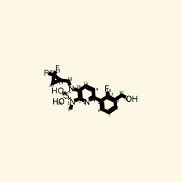 CN1c2nc(-c3cccc(CO)c3F)ccc2N(CC2CC2(F)F)S1(O)O